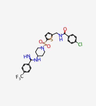 N=C(NC1CCN(S(=O)(=O)c2ccc(CNC(=O)c3ccc(Cl)cc3)s2)CC1)c1ccc(C(F)(F)F)cc1